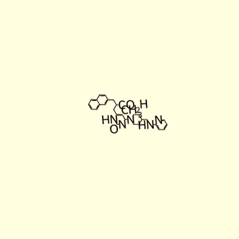 Cc1c(N2CCC(CNc3ccccn3)CC2)nc(=O)[nH]c1CC(Cc1ccc2ccccc2c1)C(=O)O